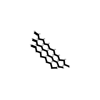 C=CCCCCCCCC.C=CCCCCCCCCCC.C=CCCCCCCCCCCCC